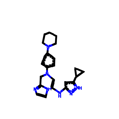 C1=C[N+]2C(Nc3cc(C4CC4)[nH]n3)=CN(c3ccc(N4CCCCC4)cc3)CC2=N1